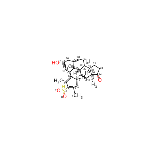 Cc1cc(C)c([SH](=O)=O)c(C)c1C1C[C@H](O)CC2=CC[C@H]3[C@@H]4CCC(=O)[C@@]4(C)CC[C@@H]3[C@]21C